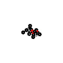 C1=CC(N(c2cccc(-c3ccccc3)c2)c2cccc3c2oc2ccccc23)=C(c2ccc3c(c2)C2(c4ccccc4-3)c3ccc4ccccc4c3Oc3c2ccc2ccccc32)CC1